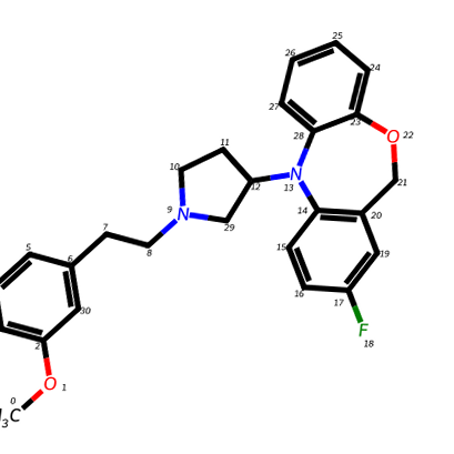 COc1cccc(CCN2CCC(N3c4ccc(F)cc4COc4ccccc43)C2)c1